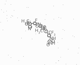 COc1cc(-c2cn(C)c(=O)c3cnccc23)cc(F)c1CN1CCC(N(C)C(=O)N2CCC(c3ccc(NC4CCC(=O)NC4=O)cc3C(F)(F)F)CC2)CC1